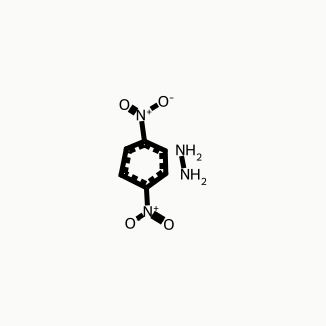 NN.O=[N+]([O-])c1ccc([N+](=O)[O-])cc1